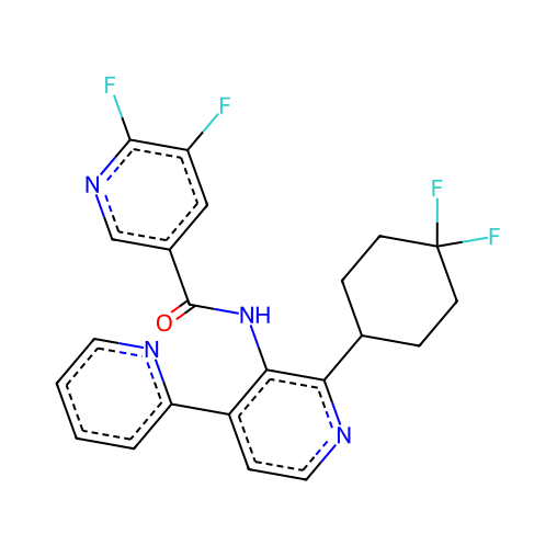 O=C(Nc1c(-c2ccccn2)ccnc1C1CCC(F)(F)CC1)c1cnc(F)c(F)c1